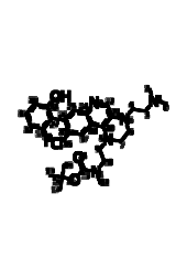 CN(C)CCN1CCN(CCN(C)C(=O)OC(C)(C)C)c2c1cnc1cc(-c3c(O)cccc3F)c(Cl)cc21